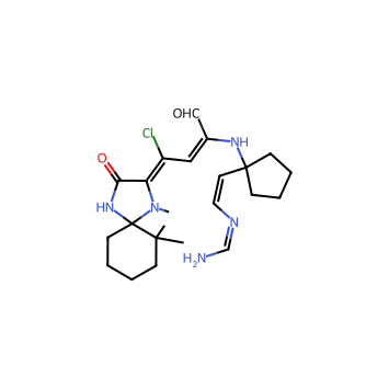 CN1/C(=C(Cl)\C=C(/C=O)NC2(/C=C\N=C/N)CCCC2)C(=O)NC12CCCCC2(C)C